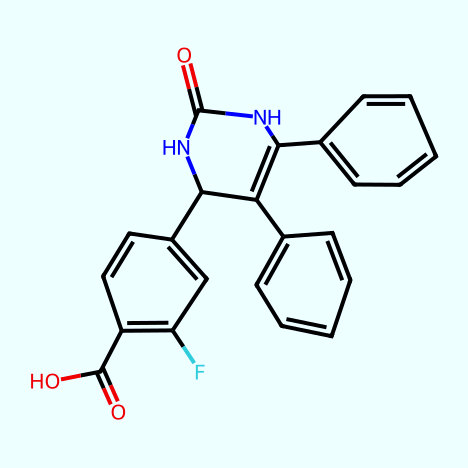 O=C1NC(c2ccccc2)=C(c2ccccc2)C(c2ccc(C(=O)O)c(F)c2)N1